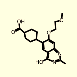 COCCOc1cc2nc(C)nc(O)c2cc1C1CCC(C(=O)O)CC1